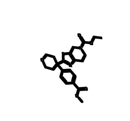 CCOC(=O)N1CCc2nc(C3(c4ccc(C(=O)OC)cc4)CCOCC3)sc2C1